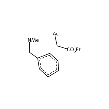 CCOC(=O)CC(C)=O.CNCc1ccccc1